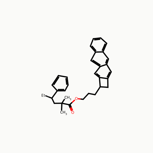 CCC(CC(C)(C)C(=O)OCCCC1Cc2cc3cc4ccccc4cc3cc21)c1ccccc1